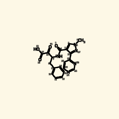 Cn1cc(C(=O)NC(Cc2ccccc2)C(=O)C(=O)O)c(-c2ccncn2)n1